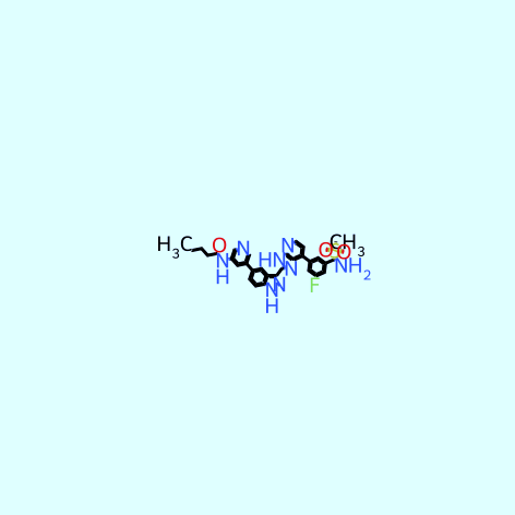 CCCCC(=O)Nc1cncc(-c2ccc3[nH]nc(-c4nc5c(-c6cc(F)cc(C(N)S(C)(=O)=O)c6)ccnc5[nH]4)c3c2)c1